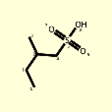 CCC(C)CS(=O)(=O)O